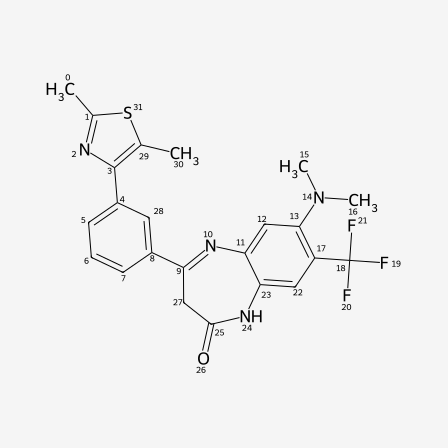 Cc1nc(-c2cccc(C3=Nc4cc(N(C)C)c(C(F)(F)F)cc4NC(=O)C3)c2)c(C)s1